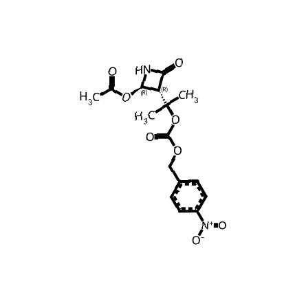 CC(=O)O[C@H]1NC(=O)[C@@H]1C(C)(C)OC(=O)OCc1ccc([N+](=O)[O-])cc1